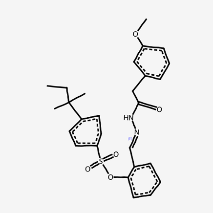 CCC(C)(C)c1ccc(S(=O)(=O)Oc2ccccc2/C=N/NC(=O)Cc2cccc(OC)c2)cc1